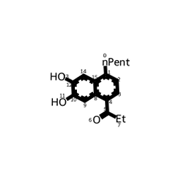 CCCCCc1ccc(C(=O)CC)c2cc(O)c(O)cc12